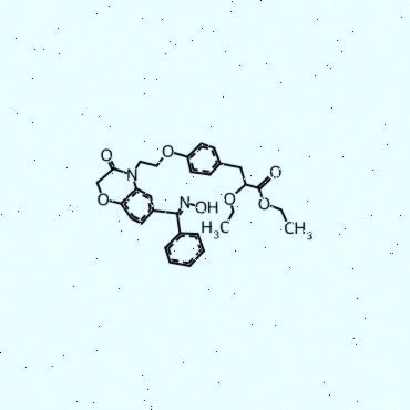 CCOC(=O)C(Cc1ccc(OCCN2C(=O)COc3ccc(C(=NO)c4ccccc4)cc32)cc1)OCC